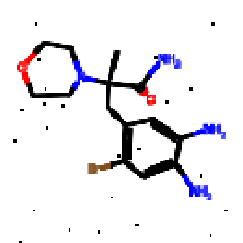 CC(Cc1cc(N)c(N)cc1Br)(C(N)=O)N1CCOCC1